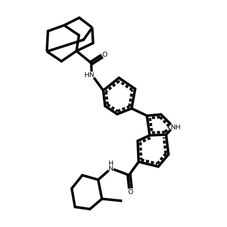 CC1CCCCC1NC(=O)c1ccc2[nH]cc(-c3ccc(NC(=O)C45CC6CC(CC(C6)C4)C5)cc3)c2c1